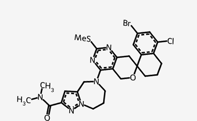 CSc1nc2c(c(N3CCCn4nc(C(=O)N(C)C)cc4C3)n1)COC1(CCCc3c(Cl)cc(Br)cc31)C2